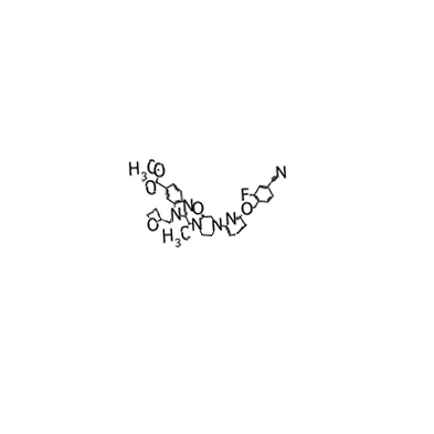 COC(=O)c1ccc2nc(C(C)N3CCN(c4cccc(OCc5ccc(C#N)cc5F)n4)CC3=O)n(C[C@@H]3CCO3)c2c1